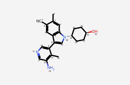 Cc1cc2c(cc1C#N)c(-c1cncc(N)c1C)cn2[C@H]1CC[C@H](O)CC1